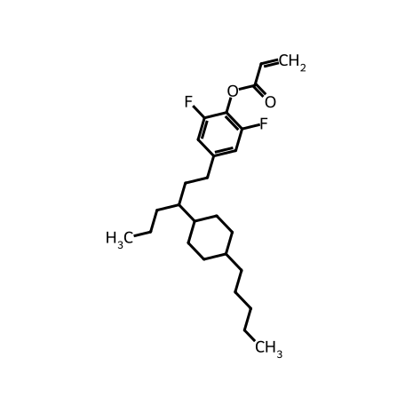 C=CC(=O)Oc1c(F)cc(CCC(CCC)C2CCC(CCCCC)CC2)cc1F